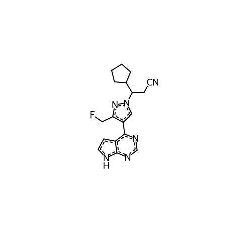 N#CCC(C1CCCC1)n1cc(-c2ncnc3[nH]ccc23)c(CF)n1